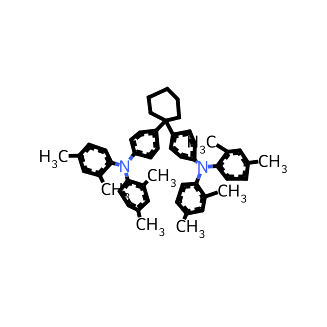 Cc1ccc(N(c2ccc(C3(c4ccc(N(c5ccc(C)cc5C)c5ccc(C)cc5C)cc4)CCCCC3)cc2)c2ccc(C)cc2C)c(C)c1